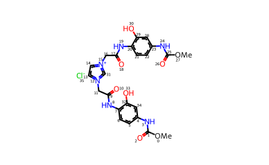 COC(=O)Nc1ccc(NC(=O)Cn2cc[n+](CC(=O)Nc3ccc(NC(=O)OC)cc3O)c2)c(O)c1.[Cl-]